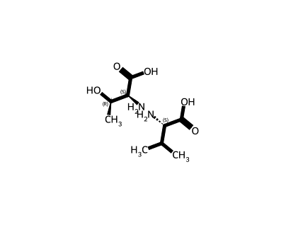 CC(C)[C@H](N)C(=O)O.C[C@@H](O)[C@H](N)C(=O)O